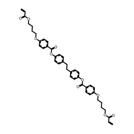 C=CC(=O)OCCCCOc1ccc(C(=O)Oc2ccc(CCc3ccc(OC(=O)c4ccc(OCCCCOC(=O)C=C)cc4)cc3)cc2)cc1